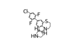 Fc1cc(Cl)cc(F)c1-c1cc2c3c(c1)[C@@H]1CNCC[C@@H]1N3CCCS2